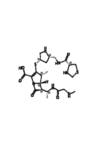 CNCC(=O)N[C@H](C)[C@H]1C(=O)N2C(C(=O)O)=C(S[C@@H]3CN[C@H](CNC(=O)[C@@H]4CSCN4)C3)[C@H](C)[C@H]12